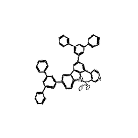 O=S1(=O)c2cnccc2-c2cc(-c3cc(-c4ccccc4)cc(-c4ccccc4)c3)cc3c4cc(-c5cc(-c6ccccc6)cc(-c6ccccc6)c5)ccc4n1c23